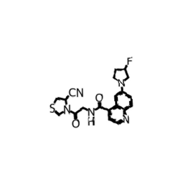 N#CC1CSCN1C(=O)CNC(=O)c1ccnc2ccc(N3CCC(F)C3)cc12